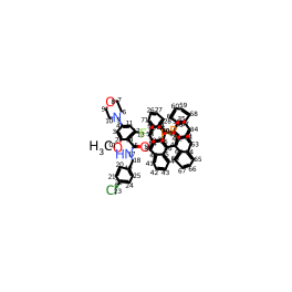 COc1cc(N2CCOCC2)cc(F)c1C(=O)NCc1ccc(Cl)cc1.c1ccc(P(c2ccccc2)c2ccc3ccccc3c2-c2c(P(c3ccccc3)c3ccccc3)ccc3ccccc23)cc1